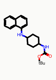 CC(C)(C)OC(=O)NC1CCC(Nc2cccc3ccccc23)CC1